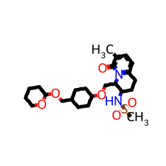 Cc1ccc2n(c1=O)C(COC1CCC(COC3CCCCO3)CC1)C(NS(C)(=O)=O)CC2